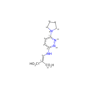 O=C(O)C(=CNc1ccc(N2CCCC2)nn1)C(=O)O